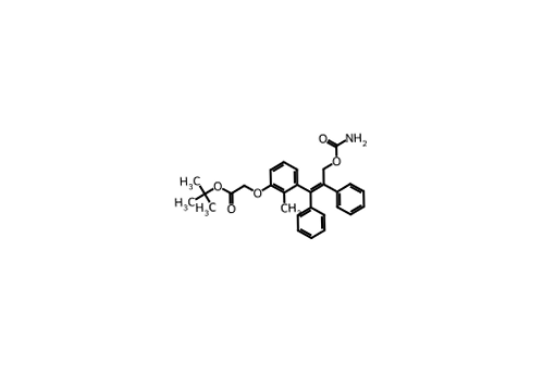 Cc1c(OCC(=O)OC(C)(C)C)cccc1C(=C(COC(N)=O)c1ccccc1)c1ccccc1